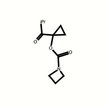 CC(C)C(=O)C1(OC(=O)N2CCC2)CC1